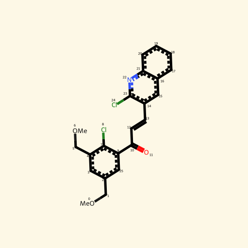 COCc1cc(COC)c(Cl)c(C(=O)/C=C/c2cc3ccccc3nc2Cl)c1